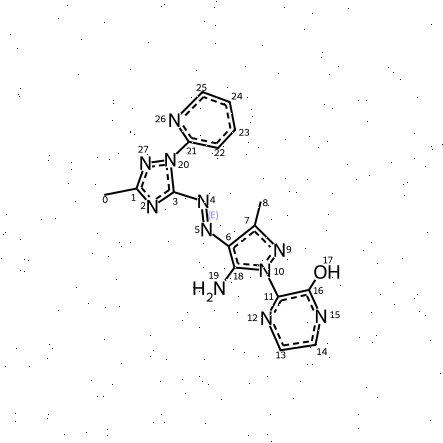 Cc1nc(/N=N/c2c(C)nn(-c3nccnc3O)c2N)n(-c2ccccn2)n1